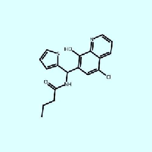 CCCC(=O)NC(c1cccs1)c1cc(Cl)c2cccnc2c1O